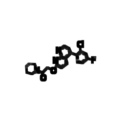 O=C(COc1ccc2c(-c3ccc(F)cc3Cl)ccnc2n1)N1CCCCC1